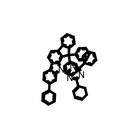 C1=C=C(c2ccc3c4ccc5c(c4n(-c4nc(C6=CC=CCC6)nc(-c6ccccc6)n4)c3c2)C(c2ccccc2)(c2ccccc2)c2ccccc2-5)C=CC=1